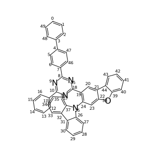 c1ccc(-c2ccc(-c3nc(-c4ccccc4)nc(-c4cc5c(cc4-n4c6ccccc6c6ccccc64)oc4ccccc45)n3)cc2)cc1